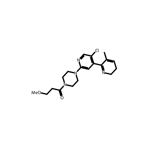 COCCC(=O)N1CCN(c2cc(C3=NCCC=C3C)c(Cl)cn2)CC1